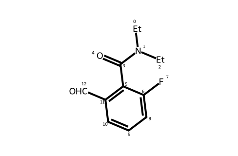 CCN(CC)C(=O)c1c(F)cccc1C=O